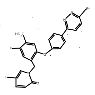 CC(C)c1ccc(-c2ccc(Oc3cc(C(=O)O)c(F)cc3Cn3cc(F)ccc3=O)cc2)nn1